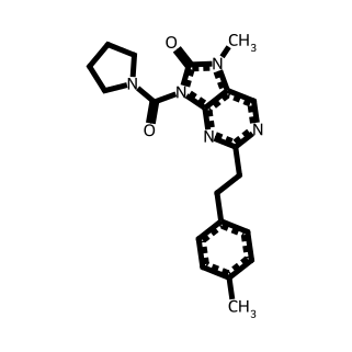 Cc1ccc(CCc2ncc3c(n2)n(C(=O)N2CCCC2)c(=O)n3C)cc1